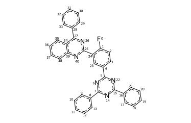 Fc1ccc(-c2nc(-c3ccccc3)nc(-c3ccccc3)n2)cc1-c1nc(-c2ccccc2)c2ccccc2n1